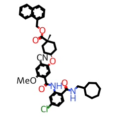 COc1cc(C#N)c(O[C@H]2CC[C@@](C)(C(=O)OCc3cccc4ccccc34)CC2)cc1C(=O)Nc1cc(Cl)ccc1C(=O)NCC1CCCCCC1